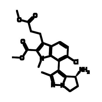 COC(=O)CCc1c(C(=O)OC)n(C)c2c(-c3c(C)nn4c3[C@H](N)CC4)c(Cl)ccc12